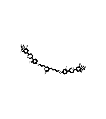 FC(F)=CC(CCCCCOc1ccc(C2CCC(c3cc(F)c(S(F)(F)(F)(F)F)c(F)c3)OC2)c(F)c1)CCCCCOc1ccc(C2CCC(c3cc(F)c(S(F)(F)(F)(F)F)c(F)c3)OC2)c(F)c1